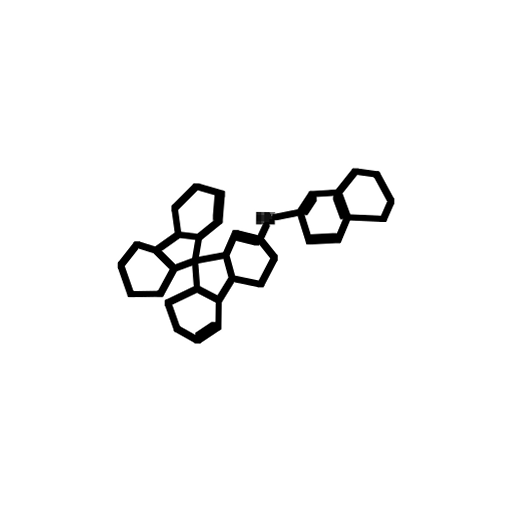 C1=CC2C(CC1)C1CCCCC1C21C2C=C(Nc3ccc4c(c3)CCCC4)CCC2C2C=CCCC21